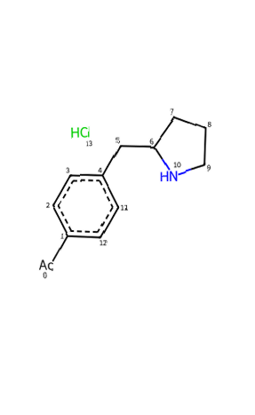 CC(=O)c1ccc(CC2CCCN2)cc1.Cl